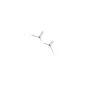 NC(=O)NC(N)=O.[SiH4]